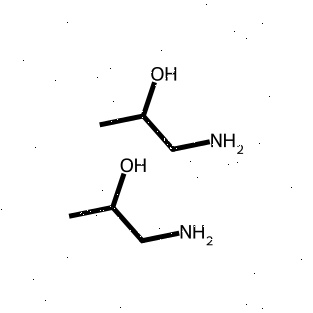 CC(O)CN.CC(O)CN